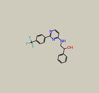 OC(CNc1ccnc(-c2ccc(C(F)(F)F)cc2)n1)c1ccccc1